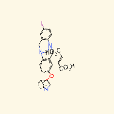 Ic1ccc2c(c1)CN1CN2Cc2cc(OC3CN4CCC3CC4)ccc21.O=C(O)C=CC(=O)O